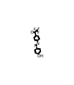 O=C(c1ccc(N=Nc2ccc(O)cc2)cc1)C(F)(F)F